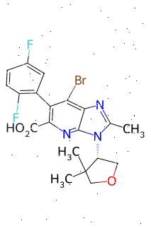 Cc1nc2c(Br)c(-c3cc(F)ccc3F)c(C(=O)O)nc2n1[C@@H]1COCC1(C)C